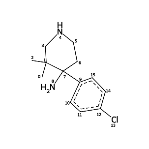 CC1(C)CNCCC1(N)c1ccc(Cl)cc1